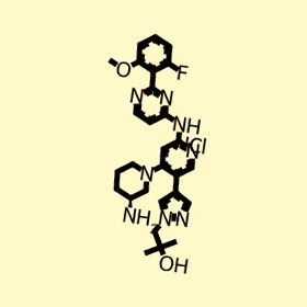 COc1cccc(F)c1-c1nccc(Nc2cc(N3CCC[C@H](N)C3)c(-c3cnn(CC(C)(C)O)c3)cn2)n1.Cl